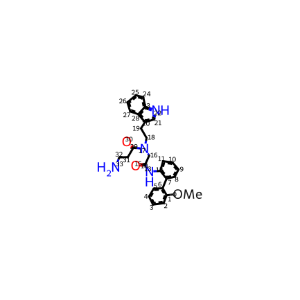 COc1ccccc1-c1ccccc1NC(=O)CN(CCc1c[nH]c2ccccc12)C(=O)CCN